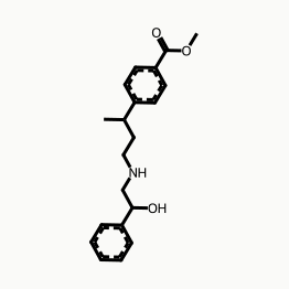 COC(=O)c1ccc(C(C)CCNCC(O)c2ccccc2)cc1